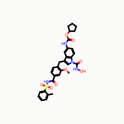 COc1cc(C(=O)NS(=O)(=O)c2ccccc2C)ccc1Cc1cn(C(=O)NO)c2ccc(NC(=O)OC3CCCC3)cc12